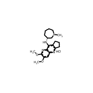 COc1cc2nc3c(c(N[C@@H]4CCCCN(C)C4)c2nc1OC)CCC3.Cl